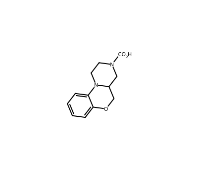 O=C(O)N1CCN2c3ccccc3OCC2C1